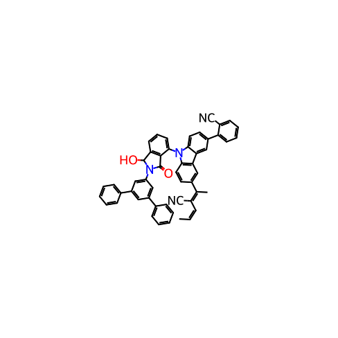 C/C=C\C(C#N)=C(/C)c1ccc2c(c1)c1cc(-c3ccccc3C#N)ccc1n2-c1cccc2c1C(=O)N(c1cc(-c3ccccc3)cc(-c3ccccc3)c1)C2O